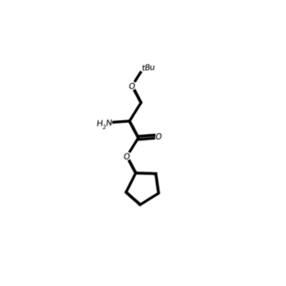 CC(C)(C)OCC(N)C(=O)OC1CCCC1